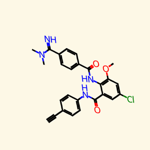 C#Cc1ccc(NC(=O)c2cc(Cl)cc(OC)c2NC(=O)c2ccc(C(=N)N(C)C)cc2)cc1